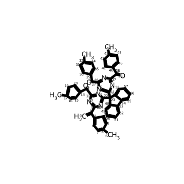 C=C(c1ccc(C)cc1)c1nc(C(=O)c2ccc(C)cc2)nc(C2(c3nc(C(=O)c4ccc(C)cc4)nc(C(=O)c4ccc(C)cc4)n3)c3ccccc3-c3ccccc32)n1